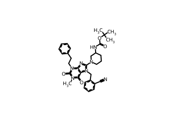 Cn1c(=O)c2c(nc(N3CCCC(NC(=O)OC(C)(C)C)C3)n2Cc2ccccc2C#N)n(CCc2ccccc2)c1=O